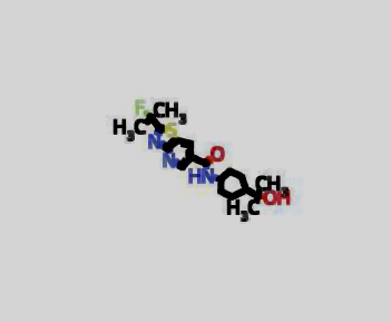 CC(C)(F)c1nc2ncc(C(=O)NC3CCC(C(C)(C)O)CC3)cc2s1